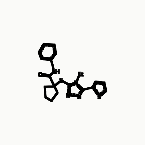 CCn1c(SC2(C(=O)Nc3ccccc3)CCCC2)nnc1-c1cccs1